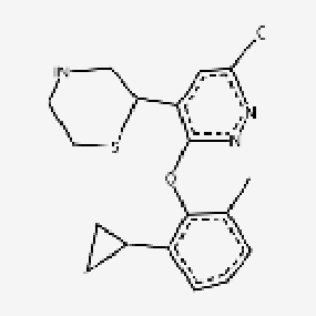 Cc1cccc(C2CC2)c1Oc1nnc(Cl)cc1C1CNCCS1